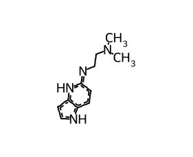 CN(C)CCN=c1ccc2[nH]ccc2[nH]1